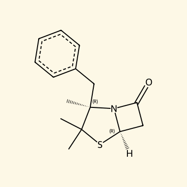 CC1(C)S[C@@H]2CC(=O)N2[C@]1(C)Cc1ccccc1